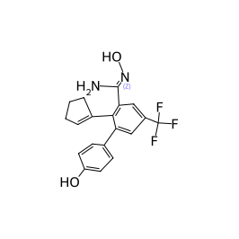 N/C(=N\O)c1cc(C(F)(F)F)cc(-c2ccc(O)cc2)c1C1=CCCC1